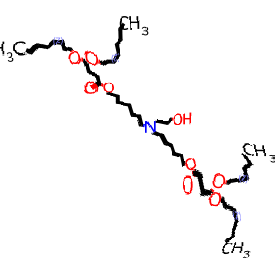 CCCC/C=C\CCOC(CCC(=O)OCCCCCCCN(CCCO)CCCCCCCOC(=O)CCC(OCC/C=C\CCCC)OCC/C=C\CCCC)OCC/C=C\CCCC